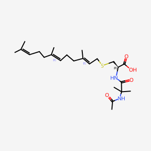 CC(=O)NC(C)(C)C(=O)N[C@@H](CSC/C=C(\C)CC/C=C(\C)CCC=C(C)C)C(=O)O